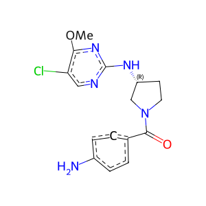 COc1nc(N[C@@H]2CCN(C(=O)c3ccc(N)cc3)C2)ncc1Cl